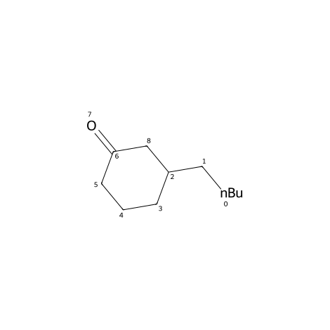 CCCCCC1CCCC(=O)C1